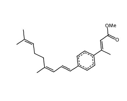 COC(=O)C=C(C)c1ccc(C=CC=C(C)CCC=C(C)C)cc1